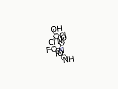 O=c1ccc(/C(=N/OC2CCNCC2)c2ccc(F)cc2F)cn1-c1c(Cl)cc(CO)cc1Cl